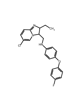 CCC1N=C2C=CC(Cl)=CN2C1CNc1ccc(Oc2ccc(F)cc2)cc1